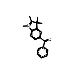 CC1=[N+](C)c2ccc(C(=O)c3ccccc3)cc2C1(C)C